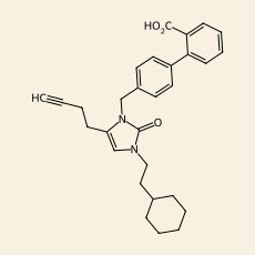 C#CCCc1cn(CCC2CCCCC2)c(=O)n1Cc1ccc(-c2ccccc2C(=O)O)cc1